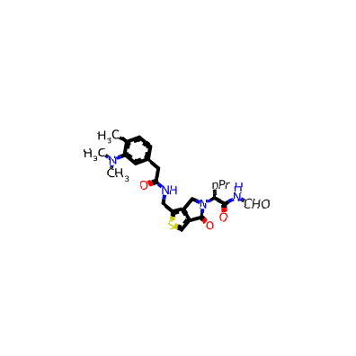 CCCC(C(=O)NC=O)N1Cc2c(csc2CNC(=O)Cc2ccc(C)c(N(C)C)c2)C1=O